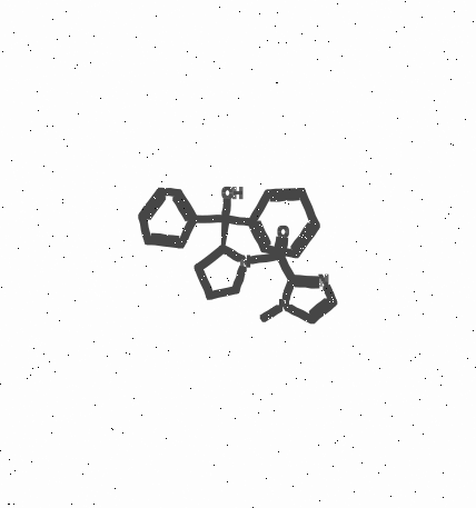 Cn1ccnc1C(=O)N1CCC[C@H]1C(O)(c1ccccc1)c1ccccc1